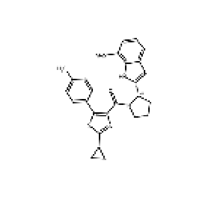 CSc1cccc2nc([C@@H]3CCCN3C(=O)c3nc(C4CC4)sc3-c3ccc(C)cc3)[nH]c12